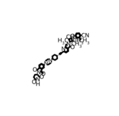 Cc1cc(O[C@H]2C(C)(C)[C@H](N3Cc4nc(C#C[C@H]5CC[C@H](N6CCN(c7ccc8c(c7)C(=O)N(C7CCC(=O)NC7=O)C8=O)CC6)CC5)ccc4C3=O)C2(C)C)ccc1C#N